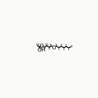 CCCCCCCOCCCCOC(C)O